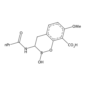 CCCC(=O)NC1Cc2ccc(OC)c(C(=O)O)c2OB1O